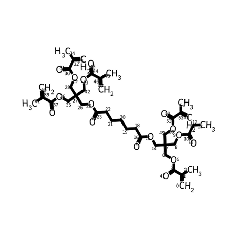 C=C(C)C(=O)OCC(COC(=O)CC)(COC(=O)CCCCCC(=O)OCC(COC(=O)C(=C)C)(COC(=O)C(=C)C)COC(=O)C(=C)C)COC(=O)C(=C)C